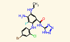 C=CNc1cc(C(=O)Nc2nnn[nH]2)c(Nc2ccc(Br)cc2Cl)c(F)c1N